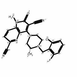 C[C@@H]1CN(c2c(C#N)c(=O)n(C)c3ccc(C#N)nc23)CCN1Cc1c(F)cccc1Cl